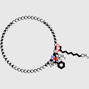 CCCCCCCCC1COC2(CCCCCCCCCCCCCCCCCCCCCCCCCCCCCCCCCCCCCCCCCCCCCCCC(C)(C)N(OC(C)c3ccccc3)C(CC)(CC)C2)O1